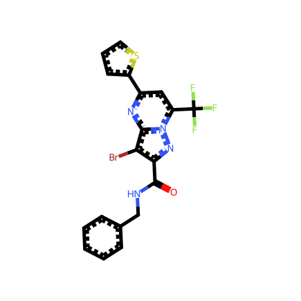 O=C(NCc1ccccc1)c1nn2c(C(F)(F)F)cc(-c3cccs3)nc2c1Br